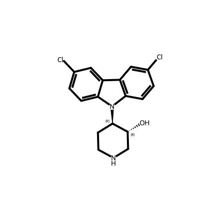 O[C@@H]1CNCC[C@H]1n1c2ccc(Cl)cc2c2cc(Cl)ccc21